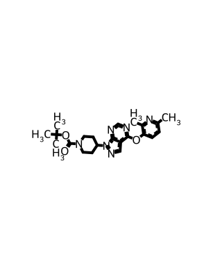 Cc1ccc(Oc2ncnc3c2cnn3C2CCN(C(=O)OC(C)(C)C)CC2)c(C)n1